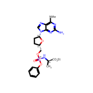 CCOC(=O)[C@@H](C)N[P@@](=O)(OC[C@@H]1CC[C@H](n2cnc3c(NC)nc(N)nc32)O1)Oc1ccccc1